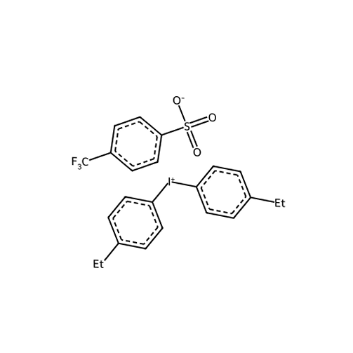 CCc1ccc([I+]c2ccc(CC)cc2)cc1.O=S(=O)([O-])c1ccc(C(F)(F)F)cc1